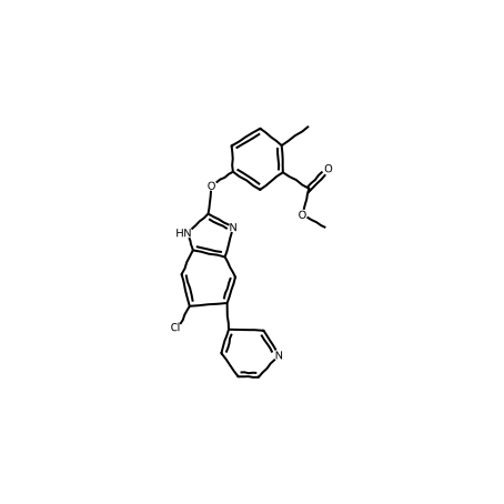 COC(=O)c1cc(Oc2nc3cc(-c4cccnc4)c(Cl)cc3[nH]2)ccc1C